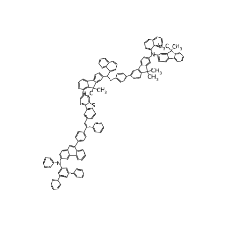 CC1(C)c2ccccc2-c2ccc(N(c3ccc4c(c3)C(C)(C)c3ccc(-c5ccc(CC(c6ccc7c(c6)C(C)(C)c6c(-c8ccc9c(c8)sc8ccc(/C=C(\c%10ccccc%10)c%10ccc(-c%11cc%12ccc(N(c%13ccccc%13)c%13cc(-c%14ccccc%14)cc(-c%14ccccc%14)c%13)cc%12c%12ccccc%11%12)cc%10)cc89)cccc6-7)c6cccc7ccccc67)cc5)cc3-4)c3cccc4ccccc34)cc21